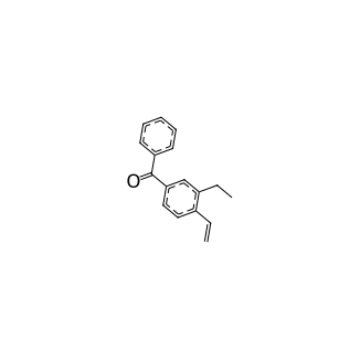 C=Cc1ccc(C(=O)c2ccccc2)cc1CC